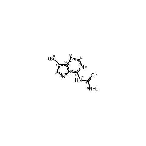 CC(C)(C)c1cnn2c(NC(N)=O)ncnc12